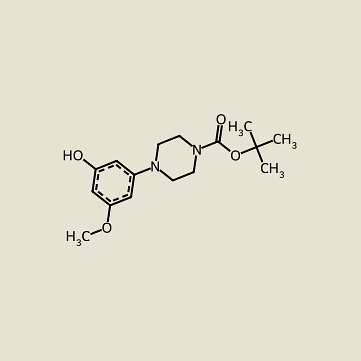 COc1cc(O)cc(N2CCN(C(=O)OC(C)(C)C)CC2)c1